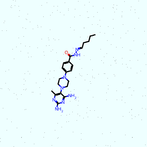 CCCCC=NNC(=O)c1ccc(N2CCN(c3c(C)nc(N)nc3N)CC2)cc1